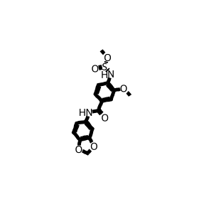 COc1cc(C(=O)Nc2ccc3c(c2)OCO3)ccc1N=[SH](=O)OC